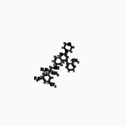 Cc1ccccc1-c1cc(N2CCOCC2)nc2ccc(NCC(C)(C)c3cc(C(F)(F)F)cc(C(F)(F)F)c3)cc12